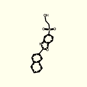 O=S(=O)(CCO)c1ccc2oc(-c3ccc4ccccc4c3)nc2c1